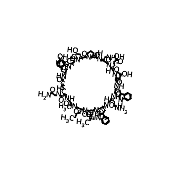 CCCC[C@H]1C(=O)N(C)[C@@H](CCCC)C(=O)N[C@@H](C)C(=O)N[C@H](C(=O)NCC(N)=O)CSCC(=O)N[C@@H](Cc2ccc(O)cc2)C(=O)N(C)[C@@H](C)C(=O)N[C@@H](CC(=O)O)C(=O)N2CCC[C@H]2C(=O)N[C@@H](CN)C(=O)N[C@@H](CCC(=O)O)C(=O)N2C[C@H](O)C[C@H]2C(=O)N[C@@H](Cc2c[nH]c3ccccc23)C(=O)N[C@@H](CCN)C(=O)N[C@@H](Cc2c[nH]c3ccccc23)C(=O)N1C